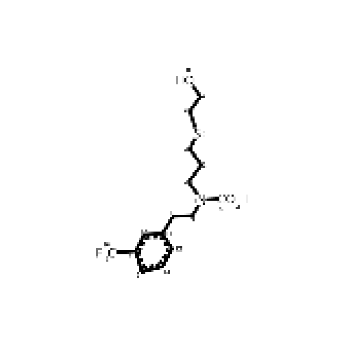 O=C(O)N(CCCSCCO)CCc1cccc(C(F)(F)F)c1